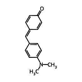 CN(C)c1ccc(C=C2C=CC(=O)C=C2)cc1